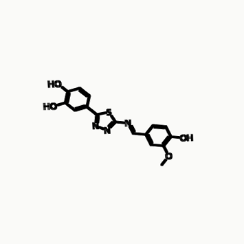 COc1cc(C=Nc2nnc(-c3ccc(O)c(O)c3)s2)ccc1O